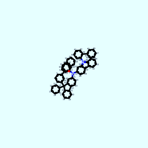 c1ccc(-c2cccc(C3(c4ccccc4)c4ccccc4-c4ccc(N(c5ccc6c7ccccc7n(-c7ccccc7-c7ccccc7)c6c5)c5cccc6ccccc56)cc43)c2)cc1